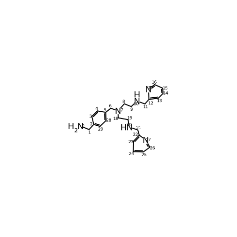 NCc1ccc(CN(CCNCc2ccccn2)CCNCc2ccccn2)cc1